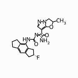 CC1Cn2ncc(S(N)(=O)=NC(=O)Nc3c4c(cc5c3C[C@H](F)C5)CCC4)c2O1